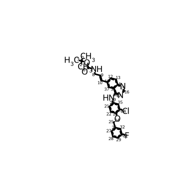 CC(C)(C)OC(=O)NCC=Cc1ccc2ncnc(Nc3ccc(OCc4cccc(F)c4)c(Cl)c3)c2c1